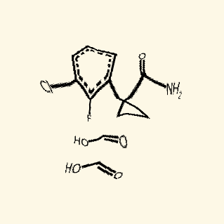 NC(=O)C1(c2cccc(Cl)c2F)CC1.O=CO.O=CO